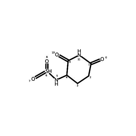 O=C1CCC(N[SH](=O)=O)C(=O)N1